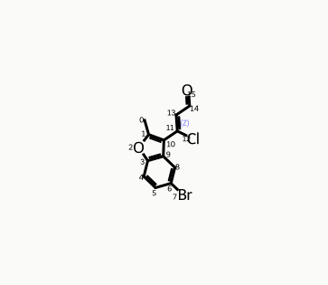 Cc1oc2ccc(Br)cc2c1/C(Cl)=C/C=O